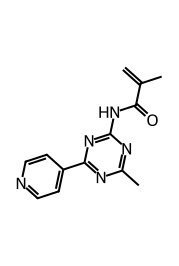 C=C(C)C(=O)Nc1nc(C)nc(-c2ccncc2)n1